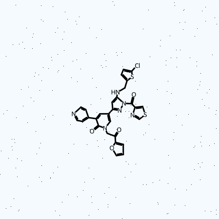 O=C(Cn1cc(-c2cc(NCc3ccc(Cl)s3)n(C(=O)c3cscn3)n2)cc(-c2ccncc2)c1=O)c1ccco1